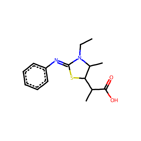 CCN1C(=Nc2ccccc2)SC(C(C)C(=O)O)C1C